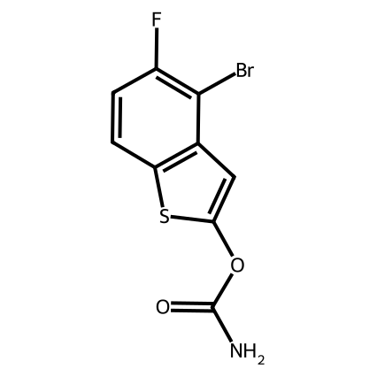 NC(=O)Oc1cc2c(Br)c(F)ccc2s1